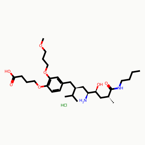 CCCCNC(=O)[C@H](C)C[C@H](O)[C@@H](N)C[C@H](Cc1ccc(OCCCC(=O)O)c(OCCCOC)c1)C(C)C.Cl